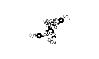 CCCOP(OCCC)(OCCC)=C(C(=O)OCc1ccc([N+](=O)[O-])cc1)N1C(=O)C(C(C)OC(=O)OCc2ccc([N+](=O)[O-])cc2)C1CC(=O)SC(C)CO[Si](C)(C)C(C)(C)C